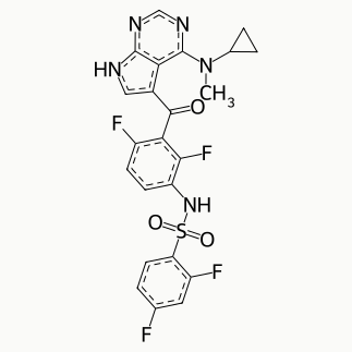 CN(c1ncnc2[nH]cc(C(=O)c3c(F)ccc(NS(=O)(=O)c4ccc(F)cc4F)c3F)c12)C1CC1